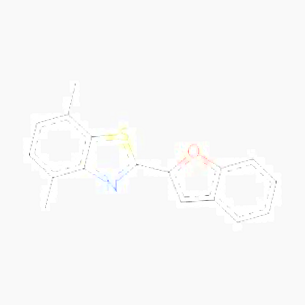 Cc1ccc(C)c2sc(-c3cc4ccccc4o3)nc12